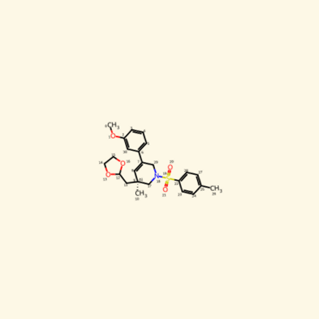 COc1cccc(C2=C[C@](C)(CC3OCCO3)CN(S(=O)(=O)c3ccc(C)cc3)C2)c1